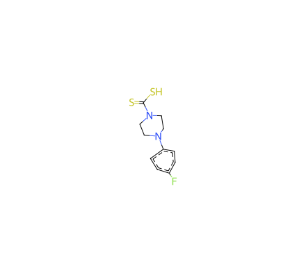 Fc1ccc(N2CCN(C(=S)S)CC2)cc1